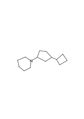 [CH]1CCN(C2CCC(C3CCC3)C2)CC1